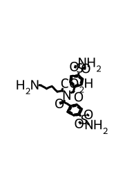 NCCCCC(C(=O)O)N(C(=O)c1ccc(S(N)(=O)=O)cc1)C(=O)c1ccc(S(N)(=O)=O)cc1